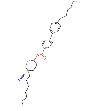 CCCCCCCc1ccc(-c2ccc(C(=O)OC3CCC(C#N)(CCCCCCC)CC3)cc2)cc1